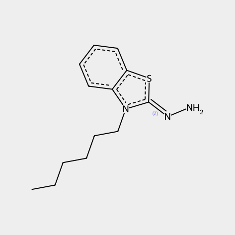 CCCCCCn1/c(=N/N)sc2ccccc21